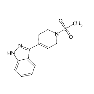 CS(=O)(=O)N1CC=C(c2n[nH]c3ccccc23)CC1